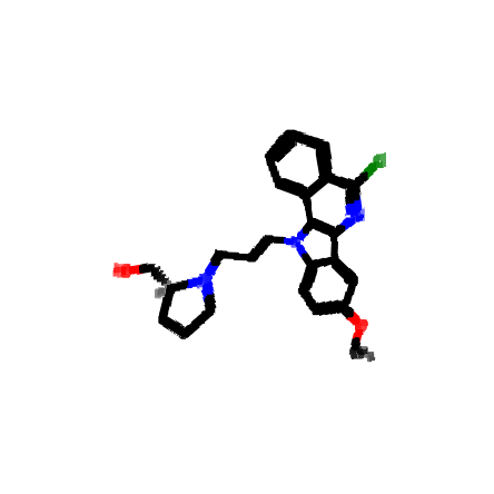 COc1ccc2c(c1)c1nc(Cl)c3ccccc3c1n2CCCN1CCC[C@@H]1CO